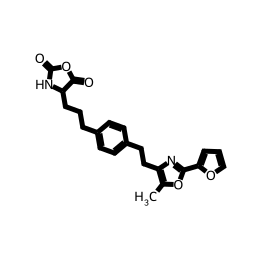 Cc1oc(-c2ccco2)nc1CCc1ccc(CCCC2NC(=O)OC2=O)cc1